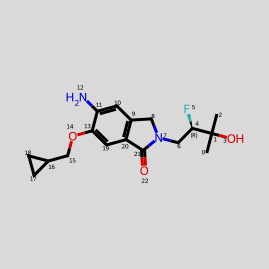 CC(C)(O)[C@H](F)CN1Cc2cc(N)c(OCC3CC3)cc2C1=O